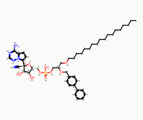 CCCCCCCCCCCCCCCCCCOC[C@H](COP(=O)(O)OC[C@H]1O[C@@](C#N)(c2ccc3c(N)ncnn23)[C@H](O)[C@@H]1O)OCc1ccc(-c2ccccc2)cc1